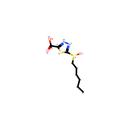 CCCCCC[S+]([O-])c1nnc(C(=O)O)s1